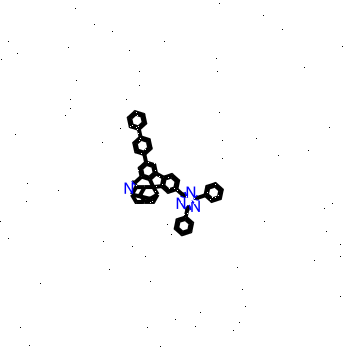 N#Cc1cc(-c2ccc(-c3ccccc3)cc2)cc2c1C1(c3cc(-c4nc(-c5ccccc5)nc(-c5ccccc5)n4)ccc3-2)C2CC3CC(C2)CC1C3